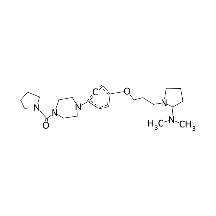 CN(C)C1CCCN1CCCOc1ccc(N2CCN(C(=O)N3CCCC3)CC2)cc1